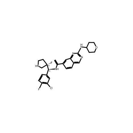 C=C(N[C@@H](c1ccc(F)c(Cl)c1)[C@]1(F)CCNC1)c1ccc2cnc(NC3CCOCC3)nc2c1